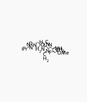 C=C/N=C1/C(C(=C/N)/C(F)=C\C(=C)OC)=NN(C)/C1=C(/N)OC1CCN(c2nc(C(C)C)no2)CC1